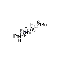 CC(C)Nc1cc(F)c(/N=N/c2c(F)cc(NC(=O)c3ccc(C(=O)C(C)(C)C)cc3)cc2F)c(F)c1